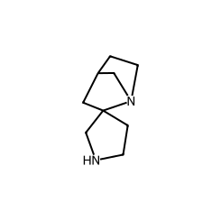 C1CC2(CN1)CC1CCN2C1